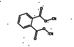 N#COC(=O)c1ccccc1C(=O)OC#N